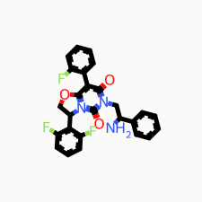 NC(Cn1c(=O)c(-c2ccccc2F)c2n(c1=O)C(c1c(F)cccc1F)CO2)c1ccccc1